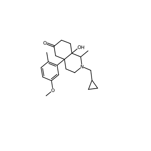 COc1ccc(C)c(C23CCN(CC4CC4)C(C)C2(O)CCC(=O)C3)c1